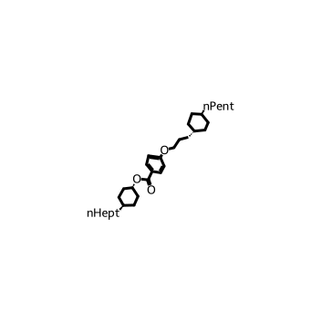 CCCCCCC[C@H]1CC[C@H](OC(=O)c2ccc(OCCC[C@H]3CC[C@H](CCCCC)CC3)cc2)CC1